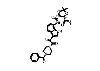 COC(=O)[C@@H]1OC(C)(C)O[C@H]1C(=O)Nc1cccc2c(C(=O)C(=O)N3CCN(C(=O)c4ccccc4)CC3)c[nH]c12